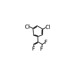 FC=C(c1cc(Cl)cc(Cl)c1)C(F)F